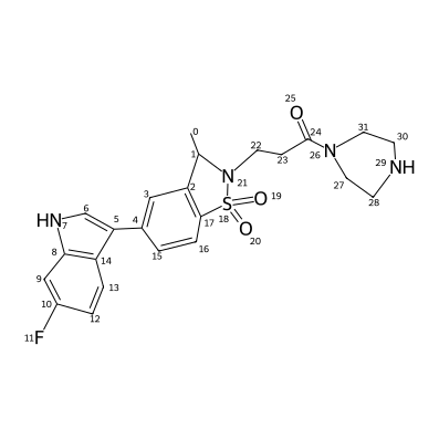 CC1c2cc(-c3c[nH]c4cc(F)ccc34)ccc2S(=O)(=O)N1CCC(=O)N1CCNCC1